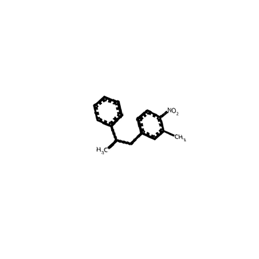 Cc1cc(CC(C)c2ccccc2)ccc1[N+](=O)[O-]